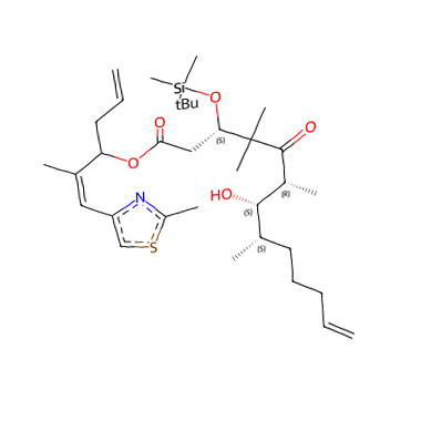 C=CCCC[C@H](C)[C@H](O)[C@@H](C)C(=O)C(C)(C)[C@H](CC(=O)OC(CC=C)C(C)=Cc1csc(C)n1)O[Si](C)(C)C(C)(C)C